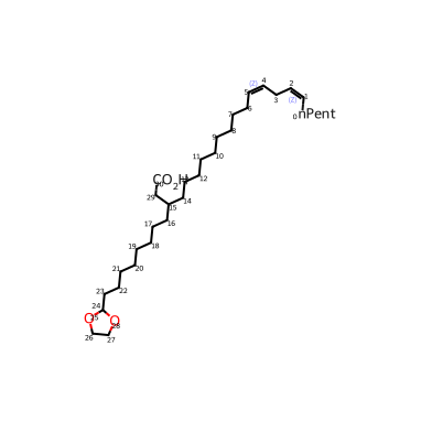 CCCCC/C=C\C/C=C\CCCCCCCCCC(CCCCCCCCC1OCCO1)CC(=O)O